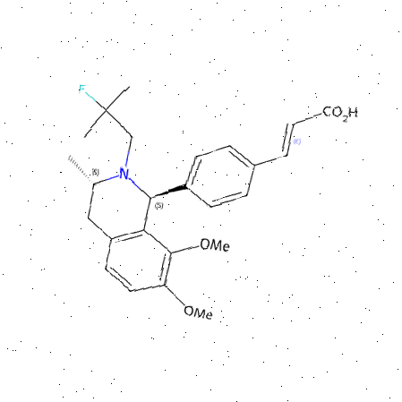 COc1ccc2c(c1OC)[C@H](c1ccc(/C=C/C(=O)O)cc1)N(CC(C)(C)F)[C@@H](C)C2